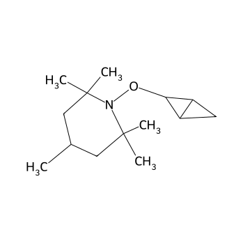 CC1CC(C)(C)N(OC2C3CC32)C(C)(C)C1